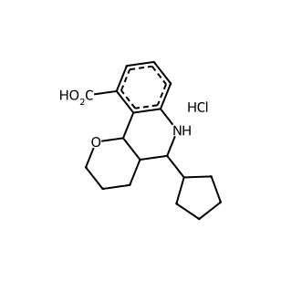 Cl.O=C(O)c1cccc2c1C1OCCCC1C(C1CCCC1)N2